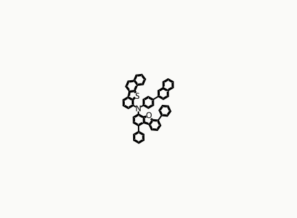 c1ccc(-c2cccc3c2oc2c(N(c4ccc(-c5ccc6ccccc6c5)cc4)c4cccc5c4sc4c6ccccc6ccc54)ccc(-c4ccccc4)c23)cc1